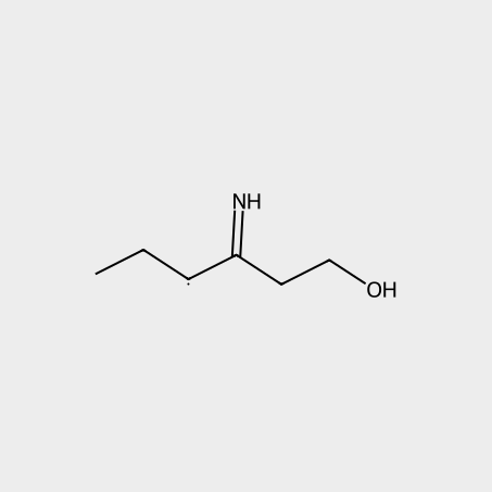 CC[CH]C(=N)CCO